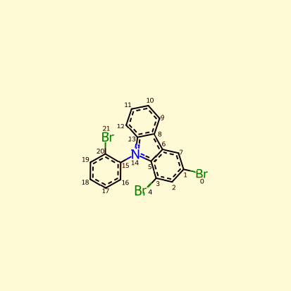 Brc1cc(Br)c2c(c1)c1ccccc1n2-c1ccccc1Br